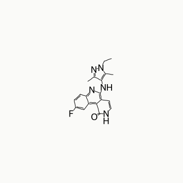 CCn1nc(C)c(Nc2nc3ccc(F)cc3c3c(=O)[nH]ccc23)c1C